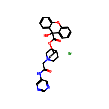 O=C(C[N+]12CCC(CC1)C(OC(=O)C1(O)c3ccccc3Oc3ccccc31)C2)Nc1cncnc1.[Br-]